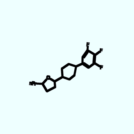 CCCC1CCC(C2CCC(c3cc(F)c(F)c(F)c3)CC2)O1